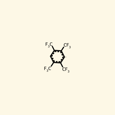 FC(F)(F)c1[c]c(C(F)(F)F)c(C(F)(F)F)cc1C(F)(F)F